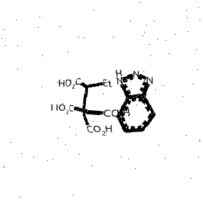 CCC(C(=O)O)C(C(=O)O)(C(=O)O)C(=O)O.c1ccc2[nH]nnc2c1